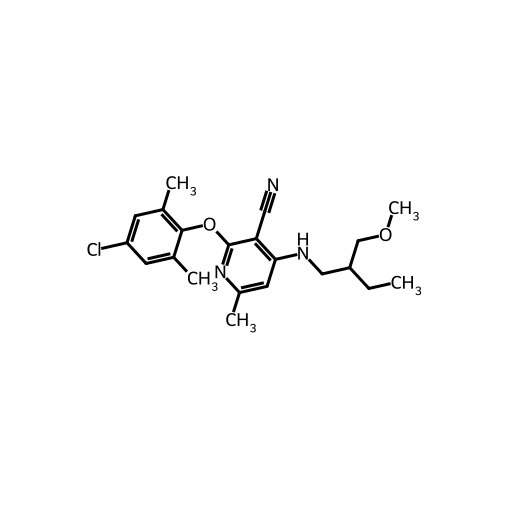 CCC(CNc1cc(C)nc(Oc2c(C)cc(Cl)cc2C)c1C#N)COC